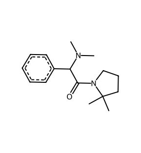 CN(C)C(C(=O)N1CCCC1(C)C)c1ccccc1